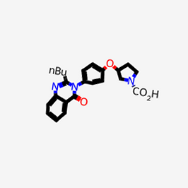 CCCCc1nc2ccccc2c(=O)n1-c1ccc(OC2CCN(C(=O)O)C2)cc1